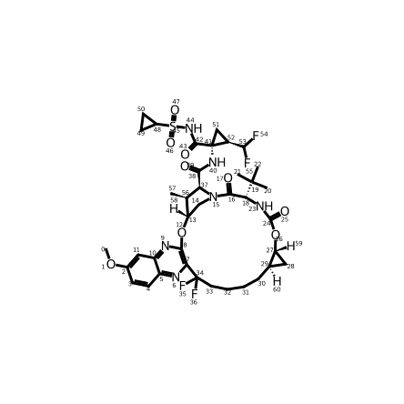 COc1ccc2nc3c(nc2c1)O[C@H]1CN(C(=O)[C@H](C(C)(C)C)NC(=O)O[C@@H]2C[C@H]2CCCCC3(F)F)[C@H](C(=O)N[C@]2(C(=O)NS(=O)(=O)C3CC3)C[C@H]2C(F)F)[C@@H]1C